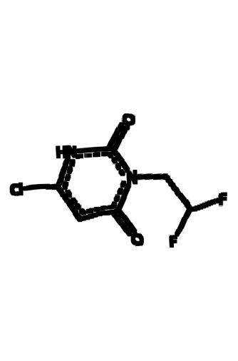 O=c1cc(Cl)[nH]c(=O)n1CC(F)F